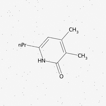 CCCc1cc(C)c(C)c(=O)[nH]1